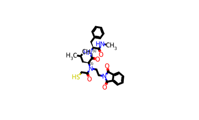 CNC(=O)[C@H](Cc1ccccc1)NC(=O)[C@H](CC(C)C)N(CCN1C(=O)c2ccccc2C1=O)C(=O)CS